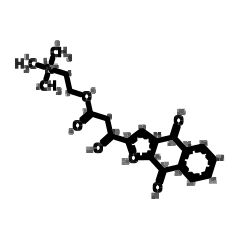 C[N+](C)(C)CCOC(=O)CC(=O)c1cc2c(o1)C(=O)c1ccccc1C2=O